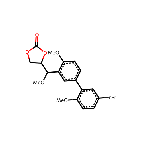 CCCc1ccc(OC)c(-c2ccc(OC)c(C(OC)C3COC(=O)O3)c2)c1